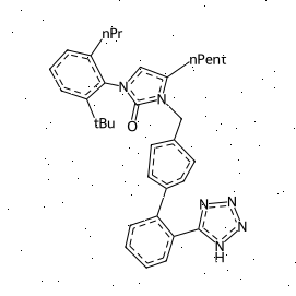 CCCCCc1cn(-c2c(CCC)cccc2C(C)(C)C)c(=O)n1Cc1ccc(-c2ccccc2-c2nnn[nH]2)cc1